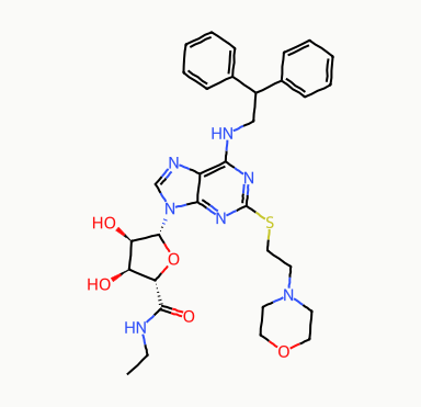 CCNC(=O)[C@H]1O[C@@H](n2cnc3c(NCC(c4ccccc4)c4ccccc4)nc(SCCN4CCOCC4)nc32)[C@H](O)[C@@H]1O